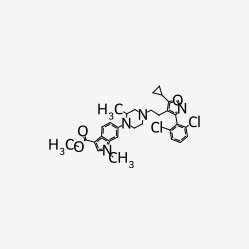 COC(=O)c1cn(C)c2cc(N3CCN(CCc4c(-c5c(Cl)cccc5Cl)noc4C4CC4)CC3C)ccc12